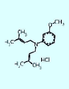 COc1cccc(N(CC=C(C)C)CC=C(C)C)c1.Cl